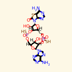 Nc1ncnc2c1ncn2[C@@H]1O[C@@H]2COP(=O)(S)O[C@H]3[C@@H](O)[C@H](n4c(=O)sc5c(N)ncnc54)O[C@@H]3COP(=O)(S)O[C@@H]1[C@@H]2O